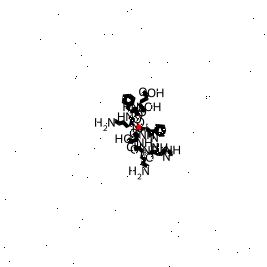 C[C@@H](O)[C@H](NC(=O)[C@H](CCCCN)NC(=O)[C@@H](N)Cc1c[nH]cn1)C(=O)N[C@@H](Cc1c[nH]c2ccccc12)C(=O)N[C@@H](CCCCN)C(=O)N[C@@H](Cc1ccccc1)C(=O)N[C@@H](CCC(=O)O)C(=O)O